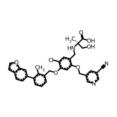 Cc1c(COc2cc(OCc3cncc(C#N)c3)c(CN[C@](C)(CO)C(=O)O)cc2Cl)cccc1-c1ccc2ccoc2c1